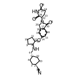 N#C[C@H]1CC[C@H](CNC2CCCC2Oc2ccc3c(c2)CN(C2CCC(=O)NC2=O)C3=O)CC1